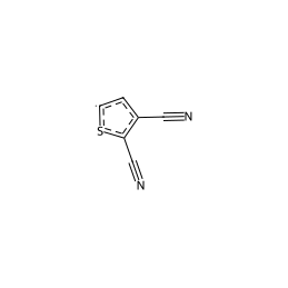 N#Cc1c[c]sc1C#N